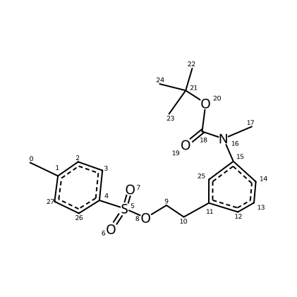 Cc1ccc(S(=O)(=O)OCCc2cccc(N(C)C(=O)OC(C)(C)C)c2)cc1